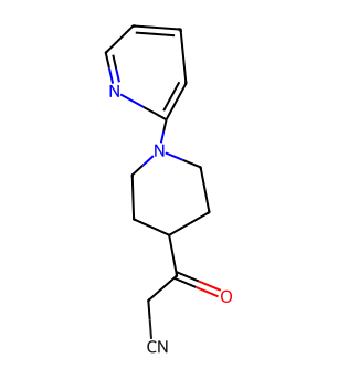 N#CCC(=O)C1CCN(c2ccccn2)CC1